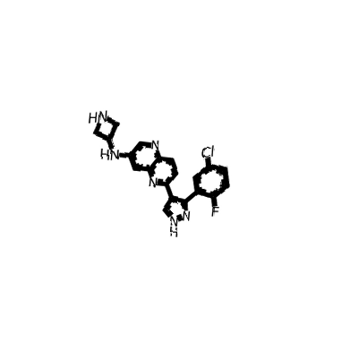 Fc1ccc(Cl)cc1-c1n[nH]cc1-c1ccc2ncc(NC3CNC3)cc2n1